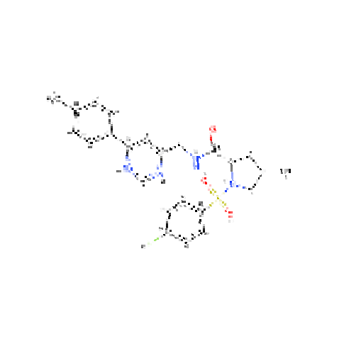 N#CC1C[C@@H](C(=O)NCc2cc(-c3ccc(C(F)(F)F)cc3)ncn2)N(S(=O)(=O)c2ccc(F)cc2)C1